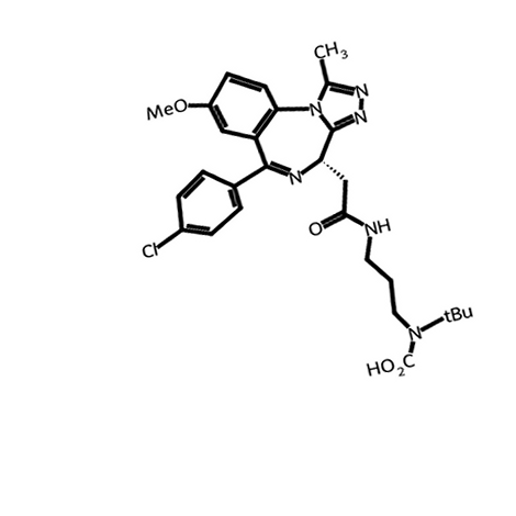 COc1ccc2c(c1)C(c1ccc(Cl)cc1)=N[C@@H](CC(=O)NCCCN(C(=O)O)C(C)(C)C)c1nnc(C)n1-2